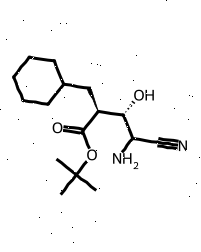 CC(C)(C)OC(=O)[C@@H](CC1CCCCC1)[C@H](O)C(N)C#N